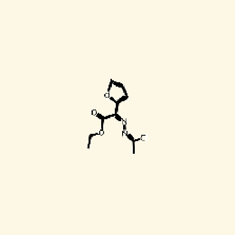 CCOC(=O)C(=NN=C(C)Cl)c1ccco1